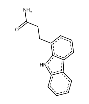 NC(=O)CCc1cccc2c1[nH]c1ccccc12